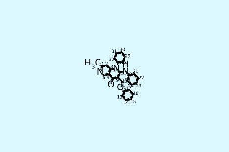 Cc1cc2c(cn1)c(=O)c(COc1ccccc1)c(Nc1ccccc1)n2-c1ccccc1